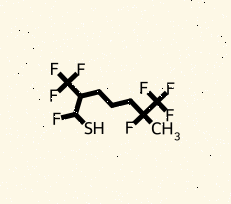 CC(F)(CCCC(C(F)S)C(F)(F)F)C(F)(F)F